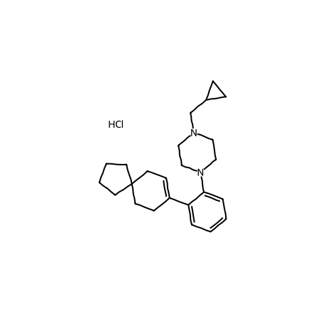 C1=C(c2ccccc2N2CCN(CC3CC3)CC2)CCC2(C1)CCCC2.Cl